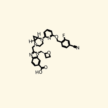 N#Cc1ccc(COc2cccc(N3CCN(Cc4nc5ccc(C(=O)O)cc5n4C[C@@H]4CCO4)[C@@H]4C[C@@H]43)n2)c(F)c1